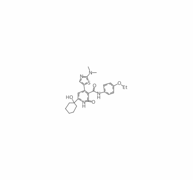 CCOc1ccc(NC(=O)c2c(-c3cnc(N(C)C)s3)cc(C3(O)CCCCC3)[nH]c2=O)cc1